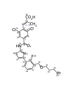 C/C(=C\c1c(Cl)cc(C(=O)Nc2nc(-c3cccc(COCCCC(C)C)c3F)cs2)cc1Cl)C(=O)O